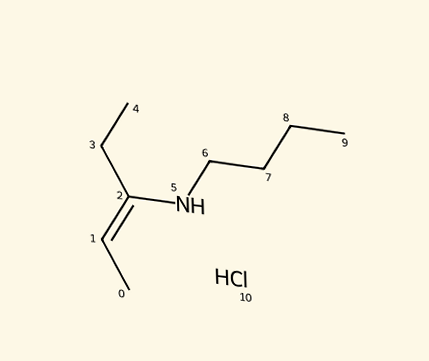 CC=C(CC)NCCCC.Cl